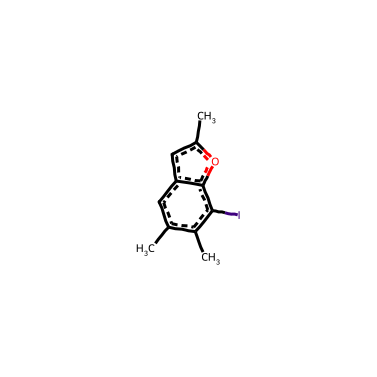 Cc1cc2cc(C)c(C)c(I)c2o1